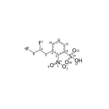 O=[N+]([O-])c1c(CC(F)CF)cccc1S(=O)(=O)O